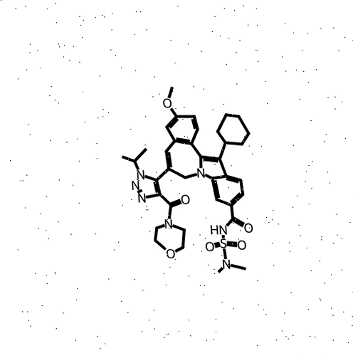 COc1ccc2c(c1)C=C(c1c(C(=O)N3CCOCC3)nnn1C(C)C)Cn1c-2c(C2CCCCC2)c2ccc(C(=O)NS(=O)(=O)N(C)C)cc21